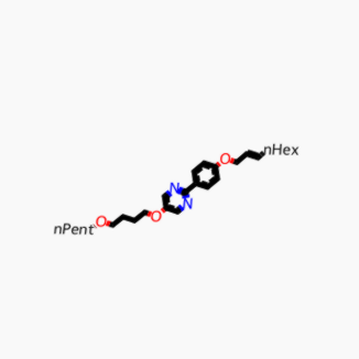 CCCCCCC=CCOc1ccc(-c2ncc(OCCCCOCCCCC)cn2)cc1